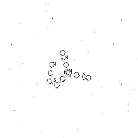 c1cncc(-c2ccc(-c3cccc4c3sc3c(-c5ccc(-c6nc(-c7ccc(-c8nc9ccccc9s8)cc7)nc(-c7ccc(-c8nc9ccccc9s8)cc7)n6)cc5)cccc34)cc2)c1